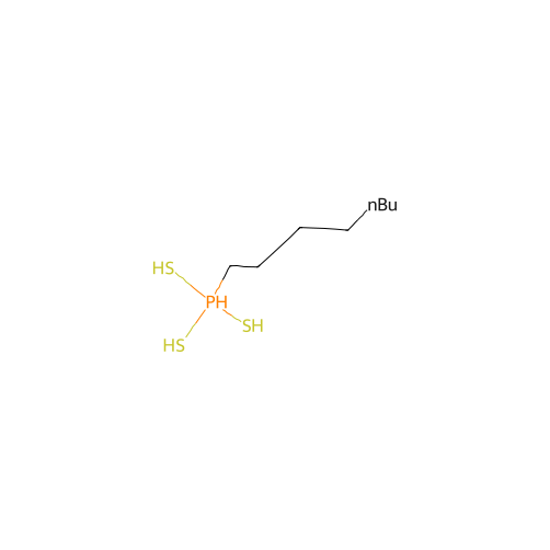 CCCCCCCC[PH](S)(S)S